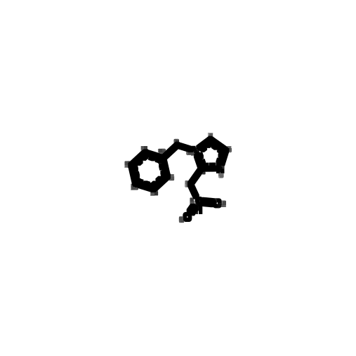 O=[SH](=O)Cc1nccn1Cc1ccccc1